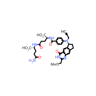 C#CCN(c1ccc(C(=O)N[C@@H](CCC(=O)N[C@H](CCC(N)=O)C(=O)O)C(=O)O)cc1)C1CCc2cc3nc(COC)[nH]c(=O)c3cc21